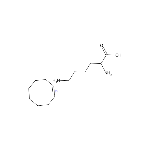 C1=C\CCCCCC/1.NCCCCC(N)C(=O)O